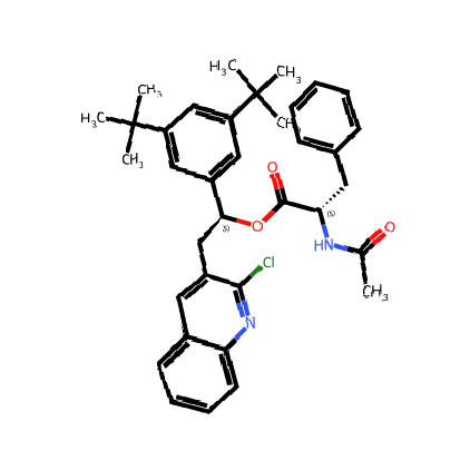 CC(=O)N[C@@H](Cc1ccccc1)C(=O)O[C@@H](Cc1cc2ccccc2nc1Cl)c1cc(C(C)(C)C)cc(C(C)(C)C)c1